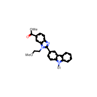 CCn1c2ccccc2c2cc(-c3nc4ccc(C(=O)OC)cc4n3CCOC)ccc21